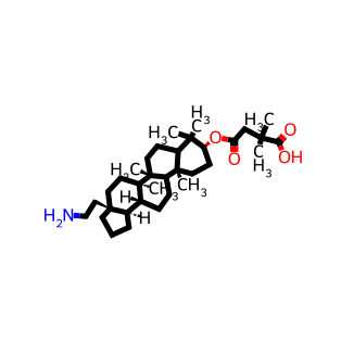 CC(C)(CC(=O)O[C@H]1CC[C@@]2(C)C(CC[C@]3(C)C2CC[C@@H]2[C@H]4CCC[C@]4(CCN)CC[C@]23C)C1(C)C)C(=O)O